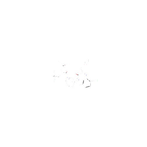 COC[C@H](N)C(=O)N[C@@]1(Cc2ccc(Cl)cc2)CCCN(C(=O)C(CC(=O)O)CC(F)(F)F)C1